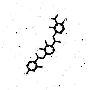 Cc1cc(Cl)ccc1C(C)Cc1ccc(C(C)Cc2ccc(Cl)c(C(C)C)c2C)c(C)c1Cl